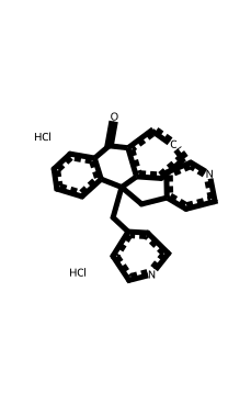 Cl.Cl.O=C1c2ccccc2C(Cc2ccncc2)(Cc2ccncc2)c2ccccc21